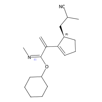 C=C(C1=CCC[C@@H]1CC(C)C#N)/C(=N\C)OC1CCCCC1